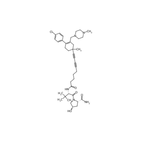 CN1CCN(CC2=C(c3ccc(Cl)cc3)CCC(C)(C#CC#CCCCCC(=O)N[C@H](C(=O)N3C[C@H](O)C[C@H]3C(N)=O)C(C)(C)C)C2)CC1